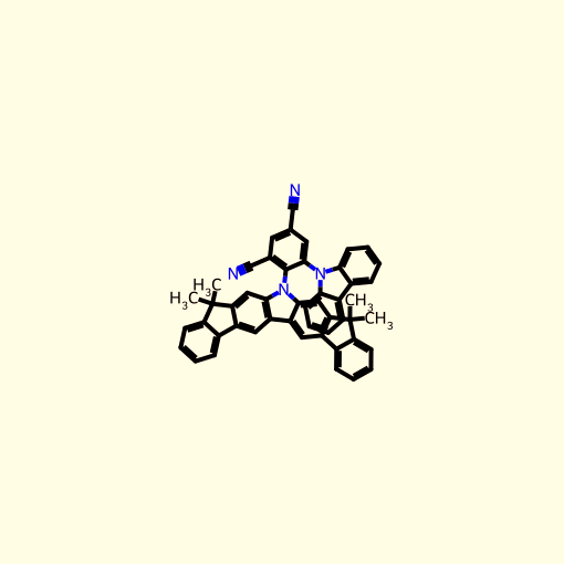 CC1(C)c2ccccc2-c2cc3c4cc5c(cc4n(-c4c(C#N)cc(C#N)cc4-n4c6ccccc6c6ccccc64)c3cc21)C(C)(C)c1ccccc1-5